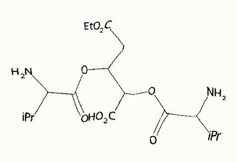 CCOC(=O)CC(OC(=O)C(N)C(C)C)C(OC(=O)C(N)C(C)C)C(=O)O